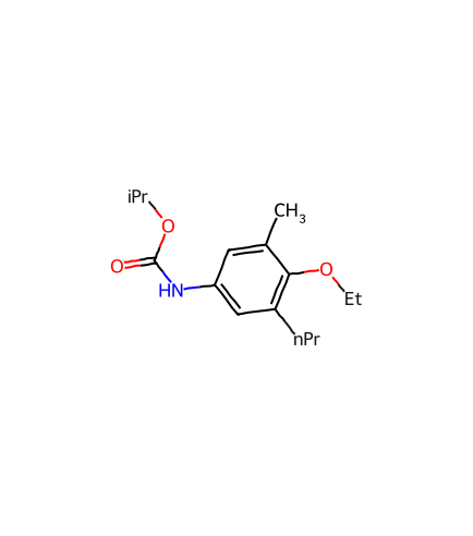 CCCc1cc(NC(=O)OC(C)C)cc(C)c1OCC